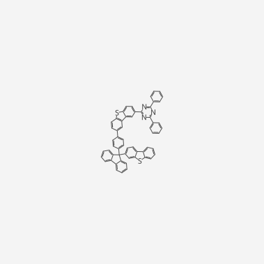 c1ccc(-c2nc(-c3ccccc3)nc(-c3ccc4sc5ccc(-c6ccc(C7(c8ccc9c(c8)sc8ccccc89)c8ccccc8-c8ccccc87)cc6)cc5c4c3)n2)cc1